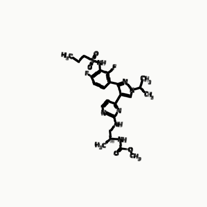 CCCS(=O)(=O)Nc1c(F)ccc(-c2nn(C(C)C)cc2-c2ccnc(NC[C@H](C)NC(=O)OC)n2)c1F